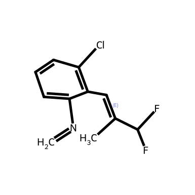 C=Nc1cccc(Cl)c1/C=C(\C)C(F)F